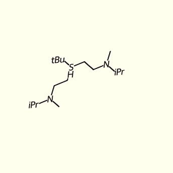 CC(C)N(C)CC[SH](CCN(C)C(C)C)C(C)(C)C